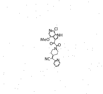 COc1cnc(Cl)c2[nH]cc(C(=O)C(=O)N3CCC(=C(C#N)c4ccccn4)CC3)c12